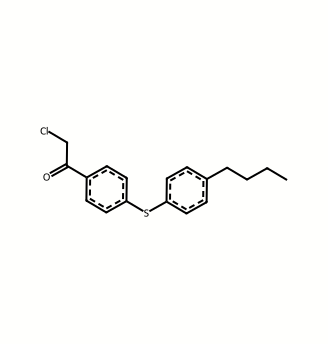 CCCCc1ccc(Sc2ccc(C(=O)CCl)cc2)cc1